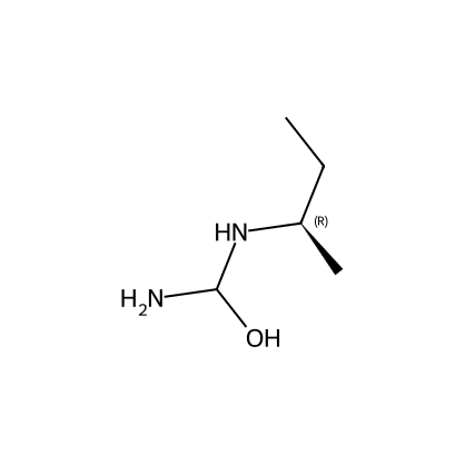 CC[C@@H](C)NC(N)O